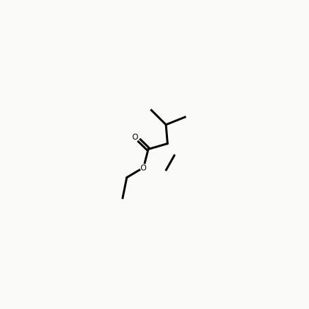 CC.CCOC(=O)CC(C)C